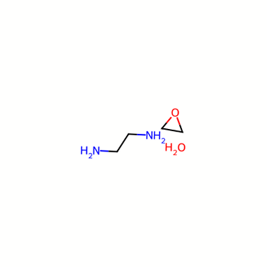 C1CO1.NCCN.O